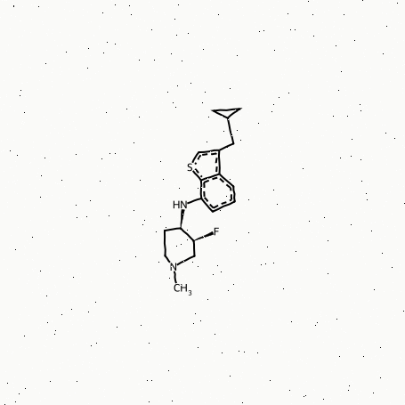 CN1CC[C@@H](Nc2cccc3c(CC4CC4)csc23)[C@@H](F)C1